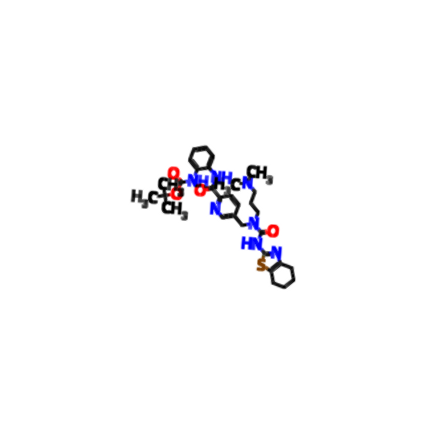 CN(C)CCCN(Cc1ccc(C(=O)Nc2ccccc2NC(=O)OC(C)(C)C)nc1)C(=O)Nc1nc2c(s1)CCCC2